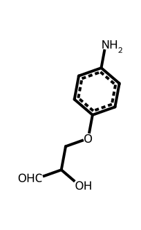 Nc1ccc(OCC(O)C=O)cc1